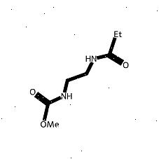 CCC(=O)NCCNC(=O)OC